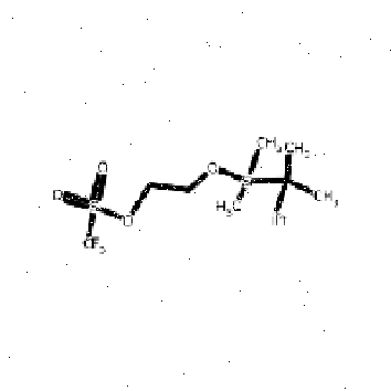 CC(C)C(C)(C)[Si](C)(C)OCCOS(=O)(=O)C(F)(F)F